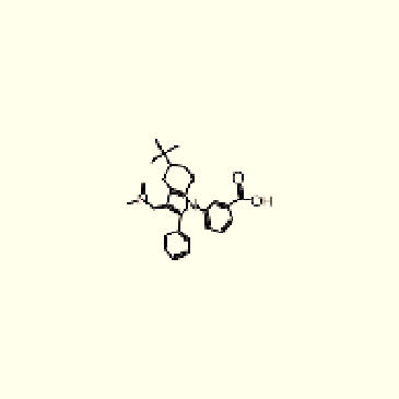 CN(C)Cc1c2c(n(-c3cccc(C(=O)O)c3)c1-c1ccccc1)CCC(C(C)(C)C)C2